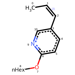 C/C=C\c1ccc(OCCCCCC)nc1